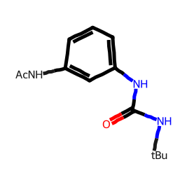 CC(=O)Nc1cccc(NC(=O)NC(C)(C)C)c1